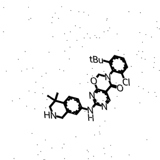 CC(C)(C)c1cccc(Cl)c1N1COc2nc(Nc3ccc4c(c3)CNCC4(C)C)ncc2C1=O